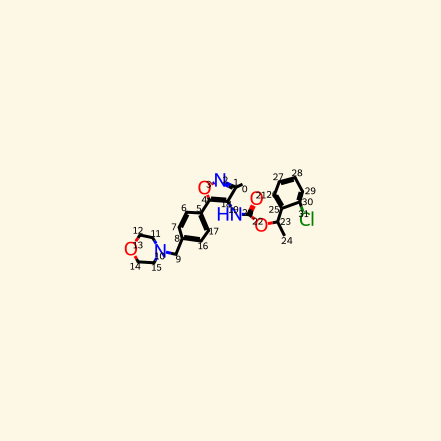 Cc1noc(-c2ccc(CN3CCOCC3)cc2)c1NC(=O)OC(C)c1ccccc1Cl